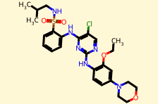 CCOc1cc(N2CCOCC2)ccc1Nc1ncc(Cl)c(Nc2ccccc2S(=O)(=O)NCC(C)C)n1